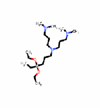 CCO[Si](CC)(CCCN(CCCN(C)C)CCCN(C)C)OCC